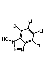 On1nnc2c(Cl)c(Cl)c(Cl)c(Cl)c21